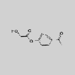 CC(=O)c1ccc(OC(=O)CO)cc1